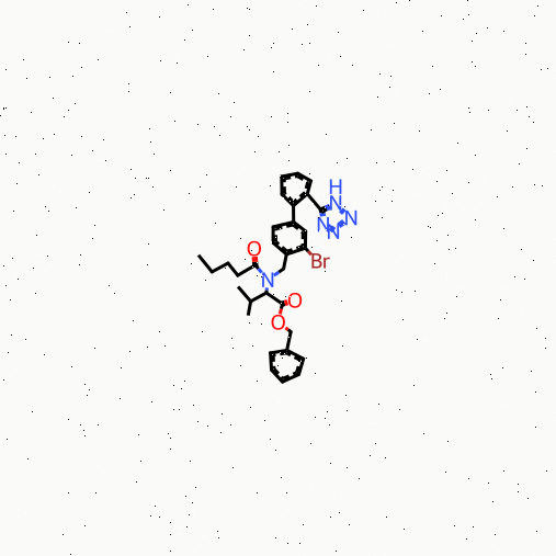 CCCCC(=O)N(Cc1ccc(-c2ccccc2-c2nnn[nH]2)cc1Br)C(C(=O)OCc1ccccc1)C(C)C